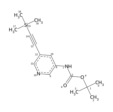 CC(C)(C)OC(=O)Nc1cncc(C#C[Si](C)(C)C)c1